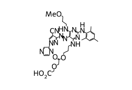 COCCCNc1nc(Nc2c(C)cc(C)cc2C)nc(NCCCOC(=O)COCC(=O)O)c1N=Nc1nn(-c2cnccn2)cc1C#N